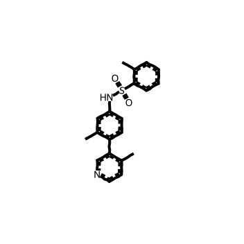 Cc1cc(NS(=O)(=O)c2ccccc2C)ccc1-c1cnccc1C